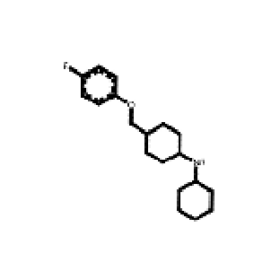 Fc1ccc(OCC2CCC(NC3CCCCC3)CC2)cc1